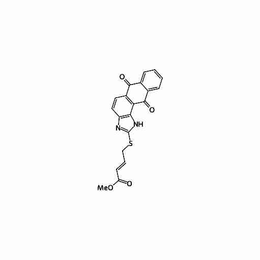 COC(=O)/C=C/CSc1nc2ccc3c(c2[nH]1)C(=O)c1ccccc1C3=O